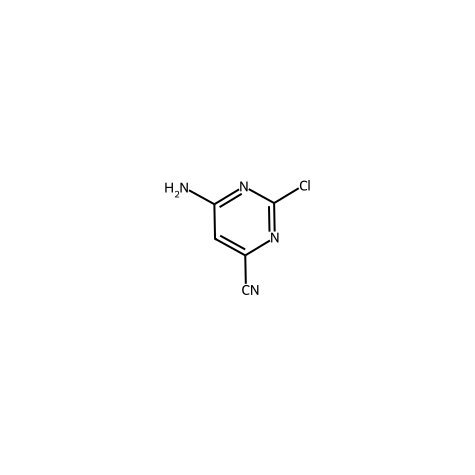 N#Cc1cc(N)nc(Cl)n1